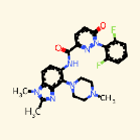 Cc1nc2c(N3CCN(C)CC3)c(NC(=O)c3ccc(=O)n(-c4c(F)cccc4F)n3)ccc2n1C